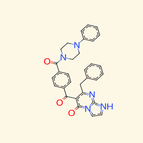 O=C(c1ccc(C(=O)N2CCN(c3ccccc3)CC2)cc1)c1c(Cc2ccccc2)nc2[nH]ccn2c1=O